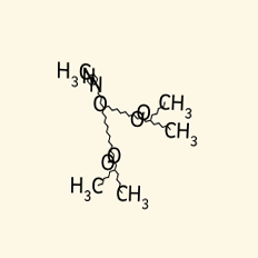 CCCCCC(CCCCC)CC(=O)OCCCCCCCCCC(CCCCCCCOC(=O)CC(CCCCC)CCCCC)OCCCN1CCN(C)CC1